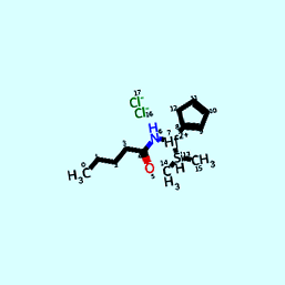 CCCCC(=O)[NH][Hf+2]([C]1=CC=CC1)[SiH](C)C.[Cl-].[Cl-]